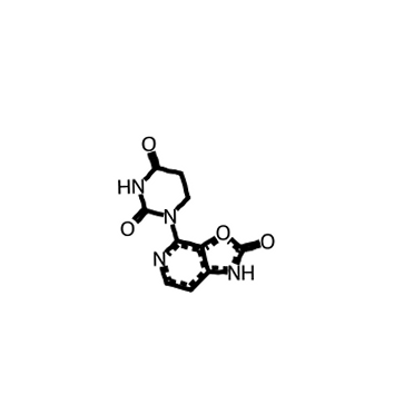 O=C1CCN(c2nccc3[nH]c(=O)oc23)C(=O)N1